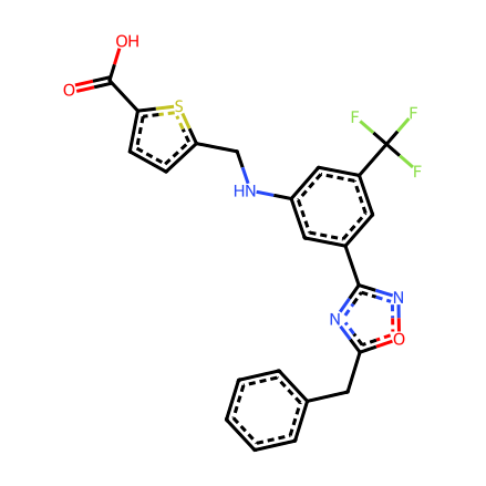 O=C(O)c1ccc(CNc2cc(-c3noc(Cc4ccccc4)n3)cc(C(F)(F)F)c2)s1